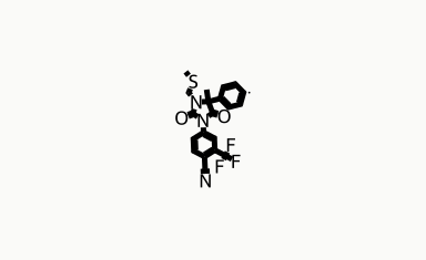 CSCN1C(=O)N(c2ccc(C#N)c(C(F)(F)F)c2)C(=O)C1(C)c1cc[c]cc1